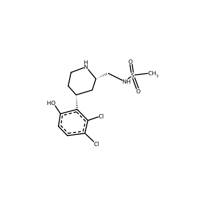 CS(=O)(=O)NC[C@@H]1C[C@H](c2c(O)ccc(Cl)c2Cl)CCN1